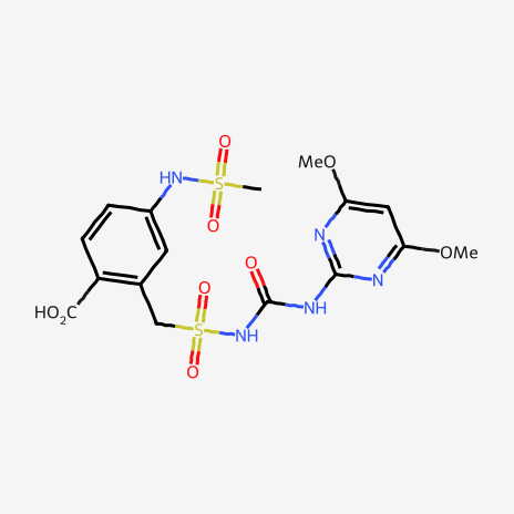 COc1cc(OC)nc(NC(=O)NS(=O)(=O)Cc2cc(NS(C)(=O)=O)ccc2C(=O)O)n1